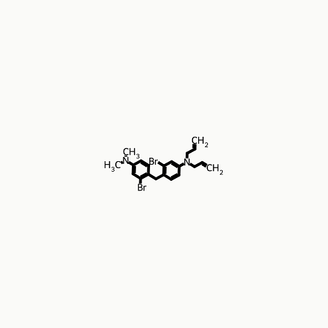 C=CCN(CC=C)c1ccc(Cc2ccc(N(C)C)cc2Br)c(Br)c1